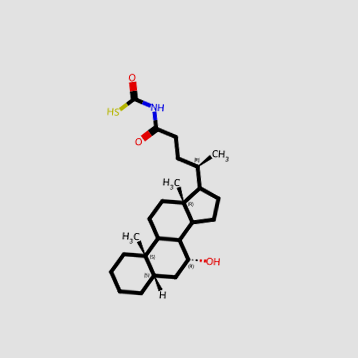 C[C@H](CCC(=O)NC(=O)S)C1CCC2C3C(CC[C@@]21C)[C@@]1(C)CCCC[C@H]1C[C@H]3O